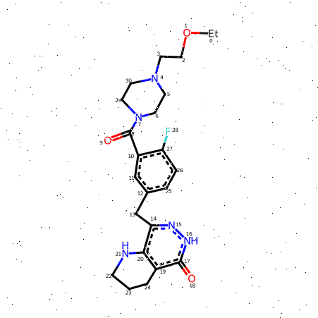 CCOCCN1CCN(C(=O)c2cc(Cc3n[nH]c(=O)c4c3NCCC4)ccc2F)CC1